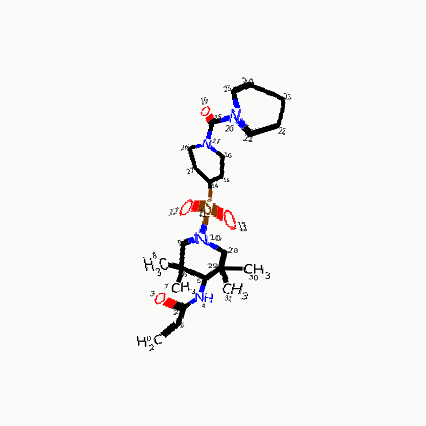 C=CC(=O)NC1C(C)(C)CN(S(=O)(=O)C2CCN(C(=O)N3CCCCC3)CC2)CC1(C)C